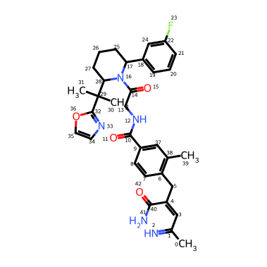 CC(=N)/C=C(/Cc1ccc(C(=O)NCC(=O)N2C(c3cccc(F)c3)CCCC2C(C)(C)c2ncco2)cc1C)C(N)=O